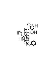 CC(C)C[C@H](NC(=O)OC(C)(C)Cc1ccccc1)C(=O)N[C@H](CO)C[C@@H]1CCNC1=O